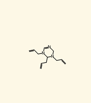 C=CCC1N(CC=C)C=NCN1CC=C